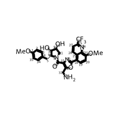 COc1ccc(C[C@@H]2[C@H](O)[C@@H](O)CN2C(=O)c2nc(-c3ccc(OC)c4nc(C(F)(F)F)ccc34)oc2CN)cc1